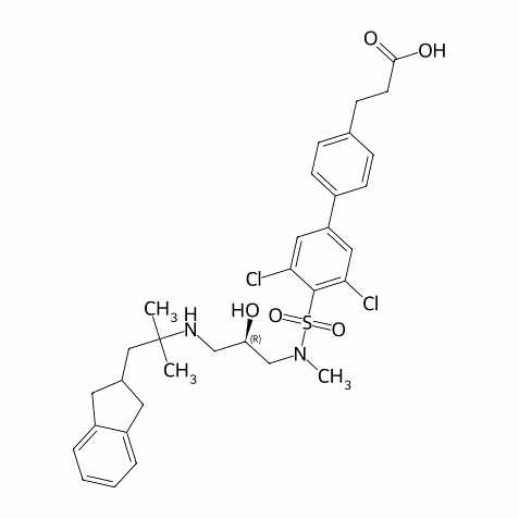 CN(C[C@H](O)CNC(C)(C)CC1Cc2ccccc2C1)S(=O)(=O)c1c(Cl)cc(-c2ccc(CCC(=O)O)cc2)cc1Cl